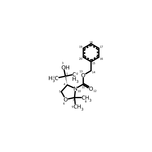 CC(C)(O)[C@H]1COC(C)(C)N1C(=O)OCc1ccccc1